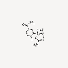 C[C@]1(c2cc(C(N)=O)ccc2F)OC(N)=NC[C@H]1F